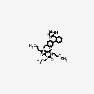 CCCc1nc2c(c(=O)n(CCOC)c(=O)n2CC)n1Cc1ccc(-c2ccccc2-c2nnn[nH]2)cc1